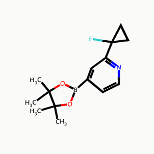 CC1(C)OB(c2ccnc(C3(F)CC3)c2)OC1(C)C